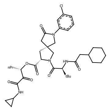 CCC[C@H](OC(=O)[C@@H]1C[C@@]2(CC(=O)N(c3cccc(Cl)c3)C2)CN1C(=O)[C@@H](NC(=O)CC1CCCCC1)C(C)(C)C)C(=O)C(=O)NC1CC1